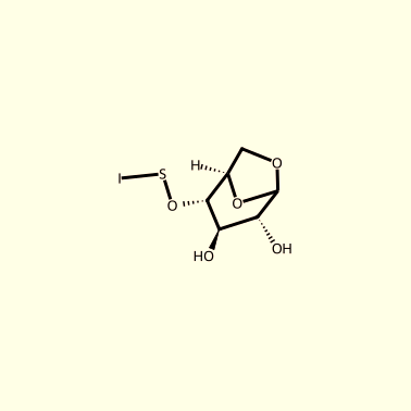 O[C@H]1[C@H](OSI)[C@H]2COC(O2)[C@@H]1O